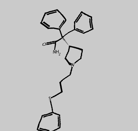 NC(=O)C(c1ccccc1)(c1ccccc1)[C@@H]1CCN(CCCSc2ccccc2)C1